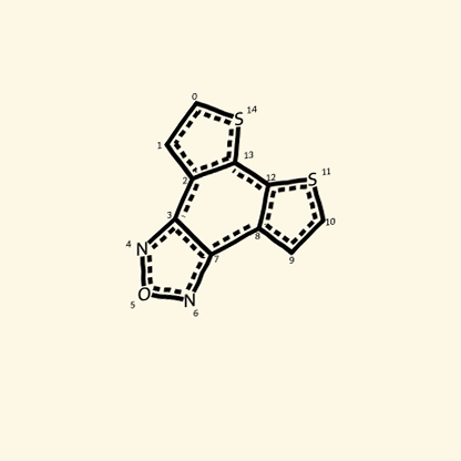 c1cc2c3nonc3c3ccsc3c2s1